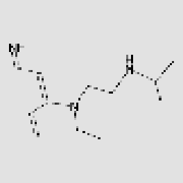 C=C/C(=C\C=N)N(CC)CCNC(C)C